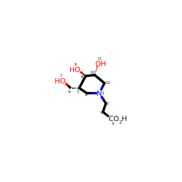 O=C(O)CCN1C[C@H](CO)[C@@H](O)[C@H](O)C1